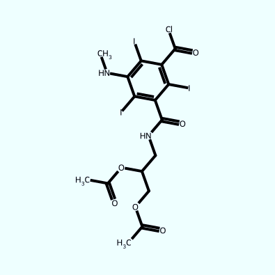 CNc1c(I)c(C(=O)Cl)c(I)c(C(=O)NCC(COC(C)=O)OC(C)=O)c1I